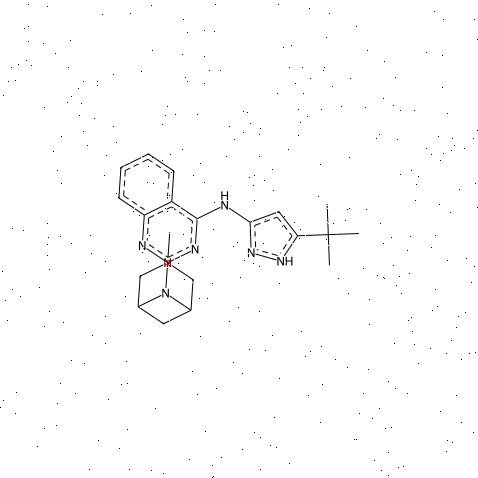 CN1CC2CC(C1)N2c1nc(Nc2cc(C(C)(C)C)[nH]n2)c2ccccc2n1